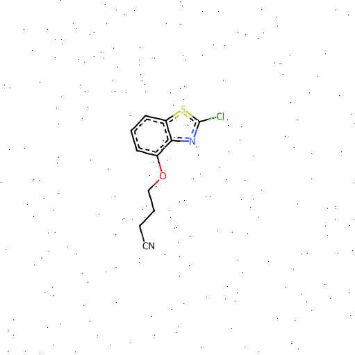 N#CCCCOc1cccc2sc(Cl)nc12